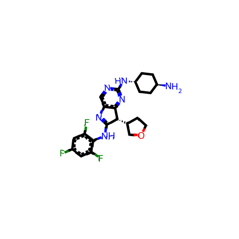 N[C@H]1CC[C@H](Nc2ncc3c(n2)[C@H](C2CCOC2)C(Nc2c(F)cc(F)cc2F)=N3)CC1